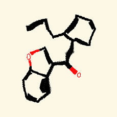 C=CCc1ccccc1C(=O)c1coc2ccccc12